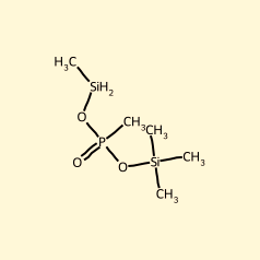 C[SiH2]OP(C)(=O)O[Si](C)(C)C